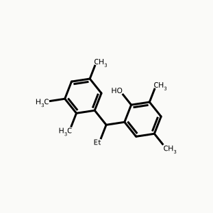 CCC(c1cc(C)cc(C)c1C)c1cc(C)cc(C)c1O